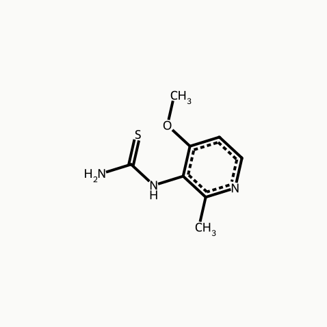 COc1ccnc(C)c1NC(N)=S